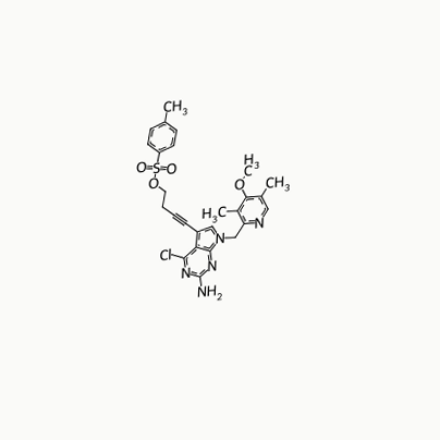 COc1c(C)cnc(Cn2cc(C#CCCOS(=O)(=O)c3ccc(C)cc3)c3c(Cl)nc(N)nc32)c1C